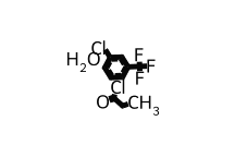 CCC(=O)Cl.FC(F)(F)c1cccc(Cl)c1.O